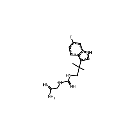 CC(C)(CNC(=N)NCC(=N)N)c1c[nH]c2cc(F)ccc12